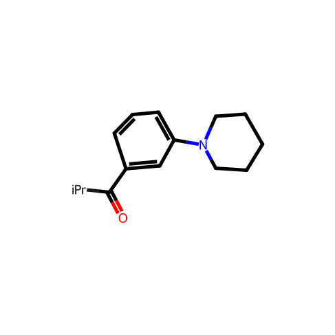 CC(C)C(=O)c1cccc(N2CCCCC2)c1